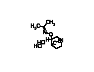 CC(C)=NO[C@@H]1CN2CCC1CC2.Cl.Cl